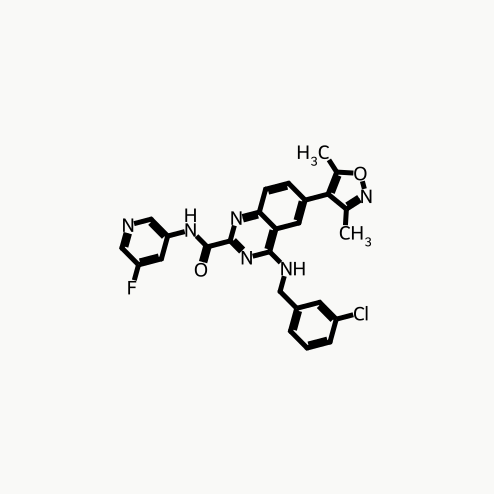 Cc1noc(C)c1-c1ccc2nc(C(=O)Nc3cncc(F)c3)nc(NCc3cccc(Cl)c3)c2c1